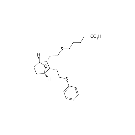 O=C(O)CCCCSCC[C@@H]1[C@H](CCSc2ccccc2)[C@@H]2CC[C@H]1O2